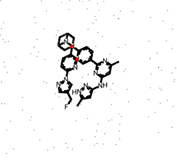 Cc1cc(Nc2cc(C)[nH]n2)nc(-c2ccc(N3CC4CC(C3)N4Cc3ccc(-n4cc(CF)cn4)nc3)nc2)n1